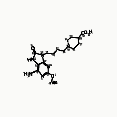 CCCCOc1nc(N)c2[nH]c(=O)n(CCCCN3CCC(C(=O)O)CC3)c2n1